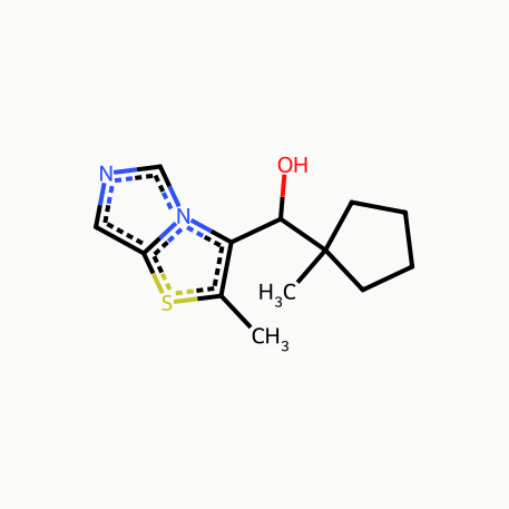 Cc1sc2cncn2c1C(O)C1(C)CCCC1